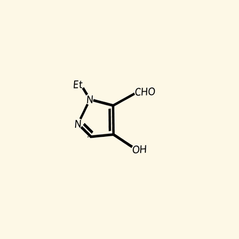 CCn1n[c]c(O)c1C=O